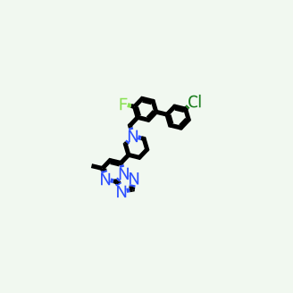 Cc1cc(C2CCCN(Cc3cc(-c4cccc(Cl)c4)ccc3F)C2)n2ncnc2n1